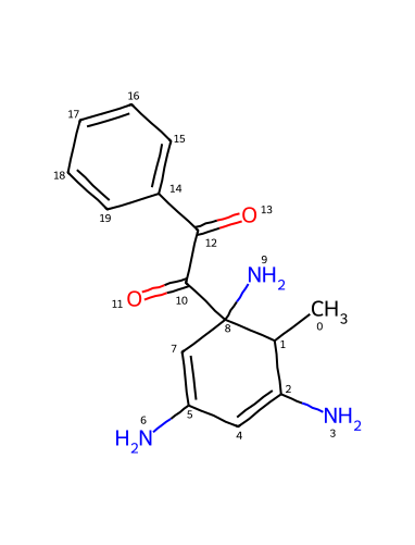 CC1C(N)=CC(N)=CC1(N)C(=O)C(=O)c1ccccc1